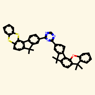 CC1(C)c2ccccc2Oc2c1ccc1c2-c2ccc(-c3ncnc(-c4ccc5c(c4)C(C)(C)c4ccc6c(c4-5)Sc4ccccc4S6)n3)cc2C1(C)C